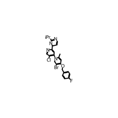 CC1=CC(OCc2ccc(F)cc2)=C(Br)CN1c1cc(-c2ccnc(C(C)C)n2)ncc1Cl